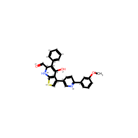 COc1cccc(-c2ccc(-c3csc4c3C(O)=C(c3ccccc3)C(C=O)N4)cn2)c1